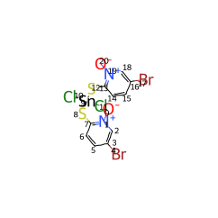 [O-][n+]1cc(Br)ccc1[S][Sn]([Cl])([Cl])[S]c1ccc(Br)c[n+]1[O-]